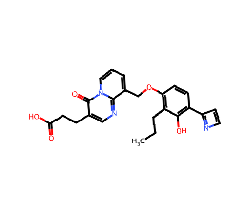 CCCc1c(OCc2cccn3c(=O)c(CCC(=O)O)cnc23)ccc(C2=NC=C2)c1O